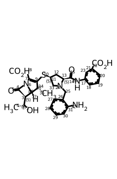 C[C@@H](O)[C@H]1C(=O)N2C(C(=O)O)=C(S[C@H]3C[C@@H](C(=O)Nc4cccc(C(=O)O)c4)N(Cc4ccccc4N)C3)[C@H](C)[C@H]12